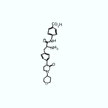 NC(Cc1ccc(N2CCN(C3CCOCC3)CC2=O)cc1)C(=O)Nc1ccc(C(=O)O)cc1